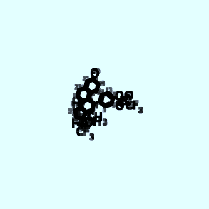 C[C@]12C[C@H](c3ccc(OS(=O)(=O)C(F)(F)F)cc3)C3=C4CCC(=O)C=C4CC[C@H]3[C@@H]1CC[C@@]2(O)C(F)(F)C(F)(F)F